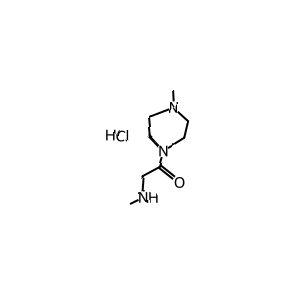 CNCC(=O)N1CCN(C)CC1.Cl